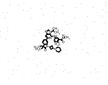 CCC1(CC)C(=O)N([C@H]2C[C@@H](N3CCCCC3)C2)c2cc(-c3cc4ncn(C(C)C)c4c(Nc4ccc(C)c(C(=O)NC)c4)n3)ccc21